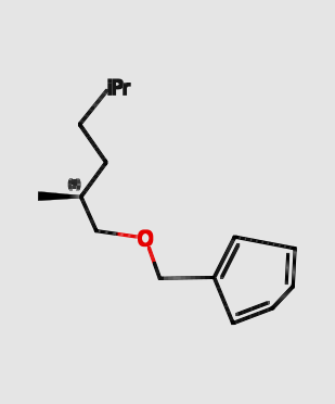 CC(C)CC[C@H](C)COCc1ccccc1